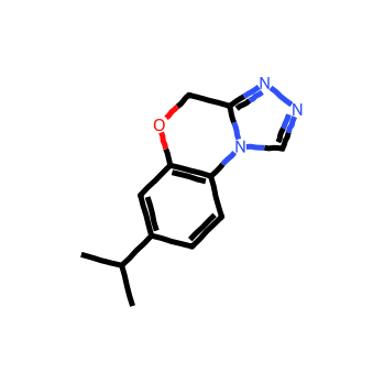 CC(C)c1ccc2c(c1)OCc1nncn1-2